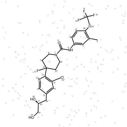 Cc1cc(NC(=O)N2CCC(F)(c3ncc(C[C@H](O)CO)cc3Cl)CC2)ccc1OC(F)(F)F